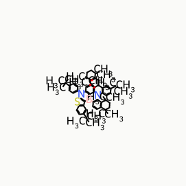 Cc1cc2c3c(c1)N(c1ccc(C(C)(C)C)cc1-c1ccc4c(c1)C(C)(C)CCC4(C)C)c1c(ccc4c1C(C)(C)CCC4(C)C)B3c1c(sc3ccc(C(C)(C)C)cc13)N2c1ccc(C(C)(C)C)cc1